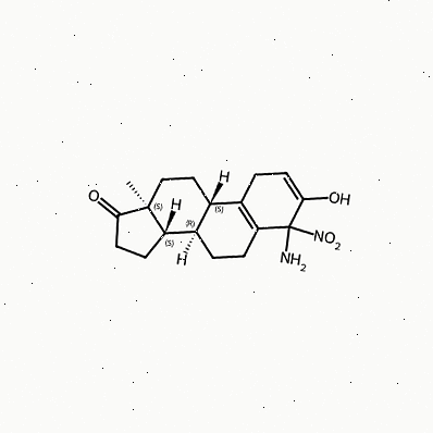 C[C@]12CC[C@@H]3C4=C(CC[C@H]3[C@@H]1CCC2=O)C(N)([N+](=O)[O-])C(O)=CC4